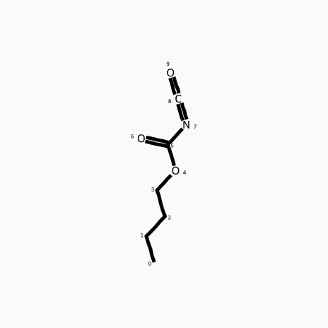 CCCCOC(=O)N=C=O